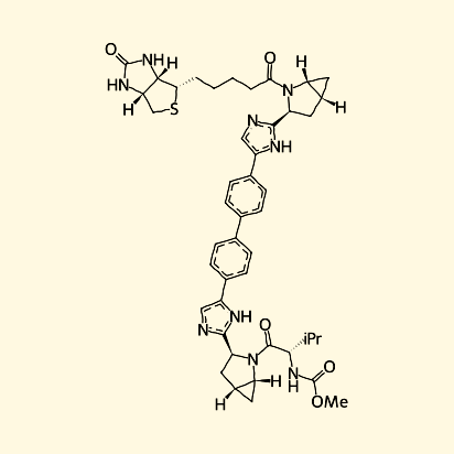 COC(=O)N[C@H](C(=O)N1[C@@H]2C[C@@H]2C[C@H]1c1ncc(-c2ccc(-c3ccc(-c4cnc([C@@H]5C[C@H]6C[C@H]6N5C(=O)CCCC[C@@H]5SC[C@@H]6NC(=O)N[C@@H]65)[nH]4)cc3)cc2)[nH]1)C(C)C